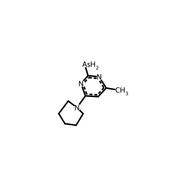 Cc1cc(N2CCCCC2)nc([AsH2])n1